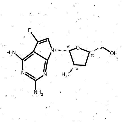 C[C@H]1C[C@@H](CO)O[C@H]1n1cc(F)c2c(N)nc(N)nc21